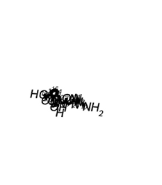 NCCn1nnc(CC(=O)N[C@H]2Cc3cccc(C(O)O)c3OB2O)n1